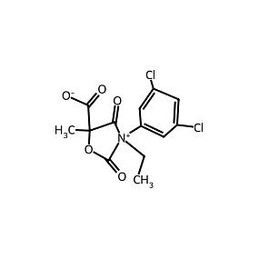 CC[N+]1(c2cc(Cl)cc(Cl)c2)C(=O)OC(C)(C(=O)[O-])C1=O